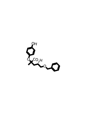 CC(CCCOCc1ccccc1)(Oc1ccc(O)cc1)C(=O)O